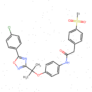 CCS(=O)(=O)c1ccc(CC(=O)Nc2ccc(OC(C)(C)c3noc(-c4ccc(Cl)cc4)n3)cc2)cc1